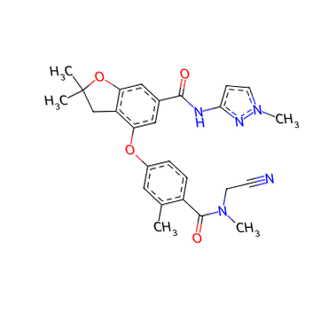 Cc1cc(Oc2cc(C(=O)Nc3ccn(C)n3)cc3c2CC(C)(C)O3)ccc1C(=O)N(C)CC#N